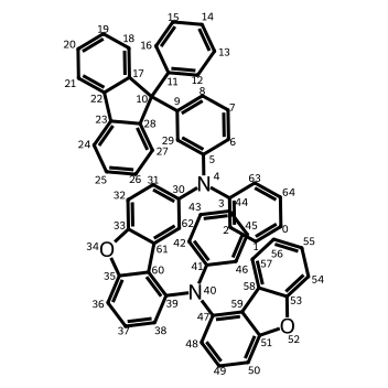 c1ccc(N(c2cccc(C3(c4ccccc4)c4ccccc4-c4ccccc43)c2)c2ccc3oc4cccc(N(c5ccccc5)c5cccc6oc7ccccc7c56)c4c3c2)cc1